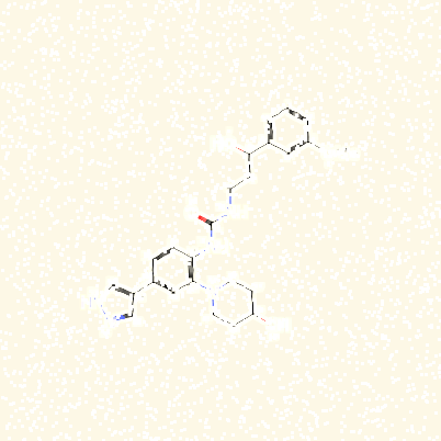 COc1cccc(C(O)CCNC(=O)Nc2ccc(-c3cn[nH]c3)cc2N2CCC(O)CC2)c1